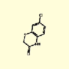 O=C1CSc2cc(Cl)ccc2N1